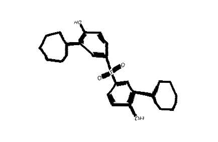 O=S(=O)(c1ccc(O)c(C2CCCCC2)c1)c1ccc(O)c(C2CCCCC2)c1